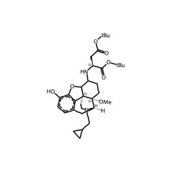 CO[C@@]12CCC(N[C@@H](CC(=O)OC(C)(C)C)C(=O)OC(C)(C)C)C3Oc4c(O)ccc5c4[C@@]31CCN(CC1CC1)[C@@H]2C5